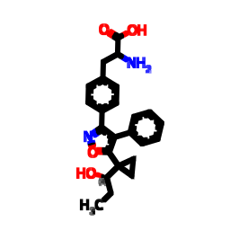 CC[C@@H](O)C1(c2onc(-c3ccc(CC(N)C(=O)O)cc3)c2-c2ccccc2)CC1